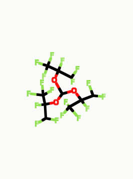 FC(F)C(F)(OC(OC(F)(C(F)F)C(F)(F)F)OC(F)(C(F)F)C(F)(F)F)C(F)(F)F